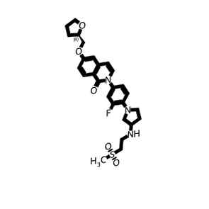 CS(=O)(=O)CCNC1CCN(c2ccc(-n3ccc4cc(OC[C@H]5CCCO5)ccc4c3=O)cc2F)C1